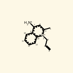 C=CC[n+]1c(C)cc(N)c2ccccc21